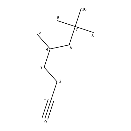 C#C[CH]CC(C)CC(C)(C)C